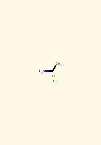 CCN.Cl.F